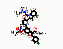 CNC(=O)c1c(-c2ccc(F)cc2)oc2cc(N(C)S(C)(=O)=O)c(-c3ccc4c(n3)-c3cc5c(F)cccc5n3C(CN(C)C)O4)cc12